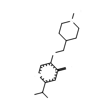 O=C(O)N1CCC(COc2coc(C(O)C(F)(F)F)cc2=O)CC1